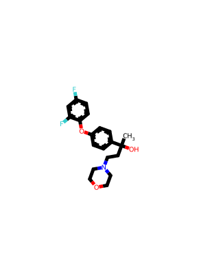 CC(O)(CCN1CCOCC1)c1ccc(Oc2ccc(F)cc2F)cc1